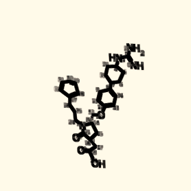 N=C(N)NC1CCC(c2ccc(OC[C@@H]3C[C@@H](CC(=O)O)C(=O)N3CCCc3ccccc3)cc2)CC1